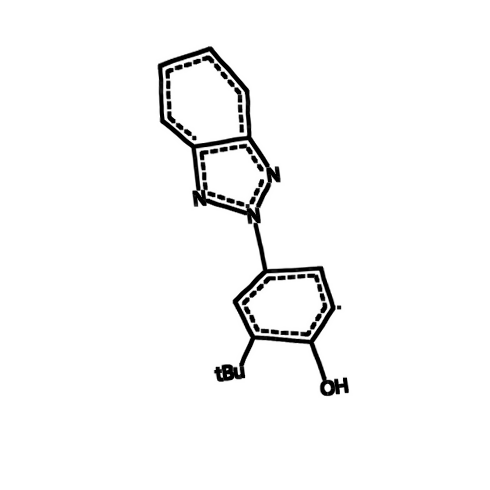 CC(C)(C)c1cc(-n2nc3ccccc3n2)c[c]c1O